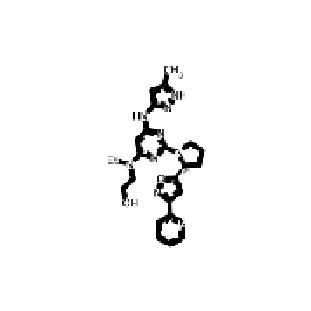 CCN(CCO)c1cc(Nc2cc(C)[nH]n2)nc(N2CCC[C@H]2c2cc(-c3ccccn3)no2)n1